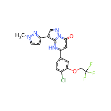 Cn1ccc(-c2cnn3c(=O)cc(-c4ccc(Cl)c(OCC(F)(F)F)c4)[nH]c23)n1